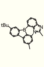 Cc1cc2c3c(c1)-n1c(C)nc4cccc(c41)B3c1cc(C(C)(C)C)ccc1-2